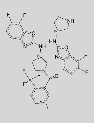 Cc1ccc(C(F)(F)F)c(C(=O)N2CC[C@@H](Nc3nc4ccc(F)c(F)c4o3)C2)c1.Fc1ccc2nc(N[C@@H]3CCNC3)oc2c1F